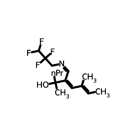 C/C=C(C)/C=C(\C=N/CC(F)(F)C(F)F)C(C)(O)CCC